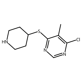 Cc1c(Cl)ncnc1SC1CCNCC1